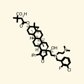 CC(C)C1=C2[C@H]3CC[C@@H]4[C@@]5(C)CC[C@H](OC(=O)CC(C)(C)C(=O)O)C6(C)C[C@]65CC[C@@]4(C)[C@]3(C)CC[C@@]2([C@H](O)CN(CCN(C)C)Cc2cccc(Cl)c2F)CC1=O